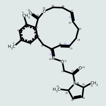 Cc1cc(C)c2c(c1)CC(=N/OCC(=O)N1C(C)C=CC1C)/C=C/CC/C=C/CCOC2=O